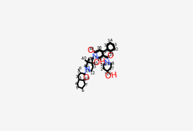 C[C@H](CC1CCCCC1)C(=O)N1CC[C@@](O)(Cn2cc(C(=O)N3CCC(O)CC3)c(-c3ccccc3)cc2=O)C(C)(C)C1